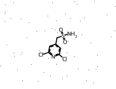 NS(=O)(=O)Cc1cc(Cl)nc(Cl)c1